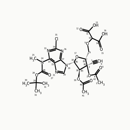 C#C[C@@]1(OC(C)=O)[C@@H](COC(C(=O)O)C(=O)O)O[C@@H](n2cnc3c(N(C)C(=O)OC(C)(C)C)nc(Cl)nc32)[C@@H]1OC(C)=O